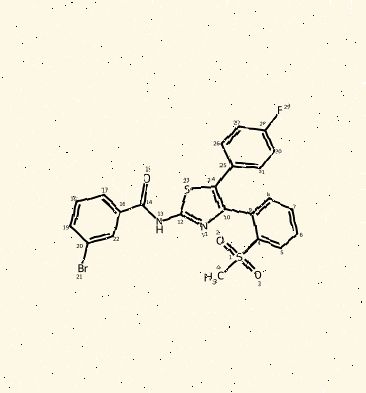 CS(=O)(=O)c1ccccc1-c1nc(NC(=O)c2cccc(Br)c2)sc1-c1ccc(F)cc1